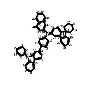 c1ccc(-n2c3ccccc3c3ccc(-c4ccc(N(c5ccc(C6(c7ccccc7)CCCCC6)cc5)c5ccc6ccccc6c5)cc4)cc32)cc1